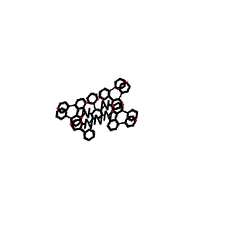 c1ccc(-c2c(-n3c4cccc(-c5ccccc5)c4c4c(-c5ccccc5)cccc43)c(-n3c4ccccc4c4ccccc43)nc(-n3c4cccc(-c5ccccc5)c4c4c(-c5ccccc5)cccc43)c2-n2c3cccc(-c4ccccc4)c3c3c(-c4ccccc4)cccc32)cc1